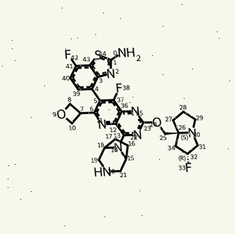 Nc1nc2c(-c3c(C4COC4)nc4c(N5C6CCC5CNC6)nc(OC[C@@]56CCCN5C[C@H](F)C6)nc4c3F)ccc(F)c2s1